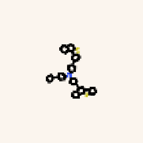 c1ccc(-c2ccc(N(c3ccc(-c4ccc5sc6ccc7ccccc7c6c5c4)cc3)c3ccc(-c4cc5c6ccccc6sc5c5ccccc45)cc3)cc2)cc1